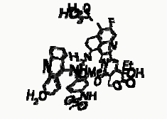 CCC1(O)C(=O)OCc2c1cc1n(c2=O)Cc2c-1nc1cc(F)c(C)c3c1c2C(N)CC3.COc1cc(NS(C)(=O)=O)ccc1Nc1c2ccccc2nc2ccccc12.CS(=O)(=O)O.O.O